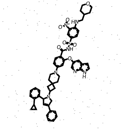 O=C(NS(=O)(=O)c1ccc(NCC2CCOCC2)c([N+](=O)[O-])c1)c1ccc(N2CCC3(CC2)CC(N2CC(c4ccccc4)=CC2c2ccccc2C2CC2)C3)cc1Oc1cnc2[nH]ccc2c1